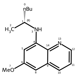 CCCC[C@@H](C)Nc1cc(OC)cc2cccnc12